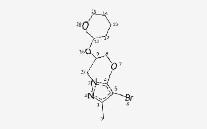 Cc1nn2c(c1Br)OCC(OC1CCCCO1)C2